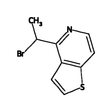 CC(Br)c1nccc2sccc12